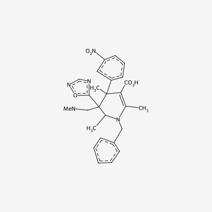 CNCC1(c2ncno2)C(C)N(Cc2ccccc2)C(C)=C(C(=O)O)C1(C)c1cccc([N+](=O)[O-])c1